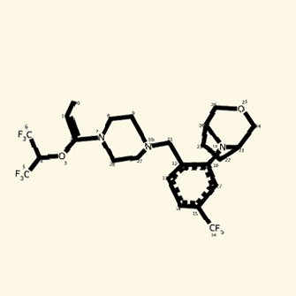 C/C=C(/OC(C(F)(F)F)C(F)(F)F)N1CCN(Cc2ccc(C(F)(F)F)cc2N2C3CCC2COC3)CC1